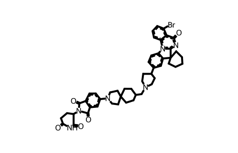 O=C1CCC(N2C(=O)c3ccc(N4CCC5(CCC(CN6CCC(c7ccc8c(c7)C7(CCCCC7)c7nc(=O)c9c(Br)cccc9n7-8)CC6)CC5)CC4)cc3C2=O)C(=O)N1